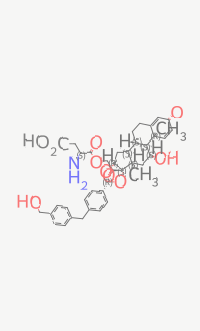 C[C@]12C=CC(=O)C=C1CC[C@@H]1[C@@H]2[C@@H](O)C[C@@]2(C)[C@H]1C[C@H]1O[C@@H](c3ccc(Cc4ccc(CO)cc4)cc3)O[C@]12C(=O)COC(=O)[C@@H](N)CC(=O)O